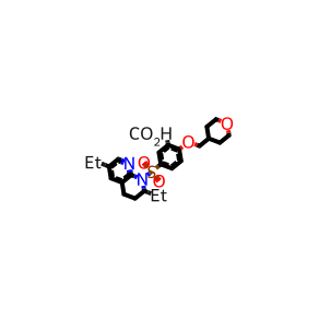 CCc1cnc2c(c1)CCC(CC)N2S(=O)(=O)c1ccc(OCC2CCOCC2)c(C(=O)O)c1